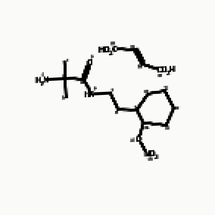 CC(C)(N)C(=O)NCCC1CCCCC1O[N+](=O)[O-].O=C(O)C=CC(=O)O